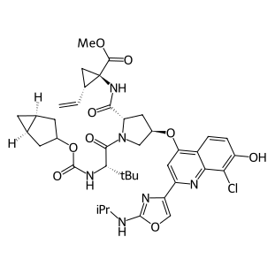 C=C[C@@H]1C[C@]1(NC(=O)[C@@H]1C[C@@H](Oc2cc(-c3coc(NC(C)C)n3)nc3c(Cl)c(O)ccc23)CN1C(=O)[C@@H](NC(=O)OC1C[C@@H]2C[C@@H]2C1)C(C)(C)C)C(=O)OC